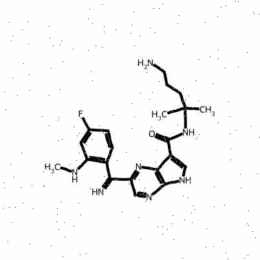 CNc1cc(F)ccc1C(=N)c1cnc2[nH]cc(C(=O)NC(C)(C)CCCN)c2n1